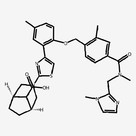 Cc1ccc(OCc2ccc(C(=O)N(C)Cc3nccn3C)cc2C)c(-c2csc(N3C[C@H]4CC[C@@H](C3)C4C(=O)O)n2)c1